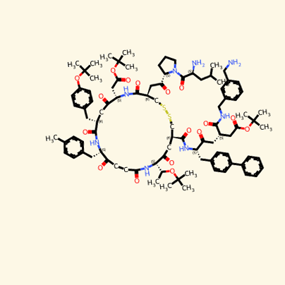 Cc1ccc(C[C@@H]2NC(=O)[C@H](Cc3ccc(OC(C)(C)C)cc3)CC(=O)[C@H](CC(=O)OC(C)(C)C)NC(=O)[C@@H](CC(=O)[C@@H]3CCCN3C(=O)[C@@H](N)CC(C)C)CSSC[C@@H](C(=O)N[C@@H](Cc3ccc(-c4ccccc4)cc3)C(=O)C[C@@H](CC(=O)OC(C)(C)C)C(=O)NCc3cccc(CN)c3)CC(=O)[C@H](C(C)OC(C)(C)C)NC(=O)CCC2=O)cc1